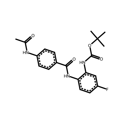 CC(=O)Nc1ccc(C(=O)Nc2ccc(F)cc2NC(=O)OC(C)(C)C)cc1